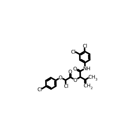 C=C(C)C(OC(=O)C(Cl)Oc1ccc(Cl)cc1)C(=O)Nc1ccc(Cl)c(Cl)c1